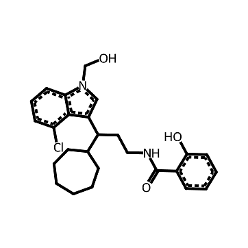 O=C(NCCC(c1cn(CO)c2cccc(Cl)c12)C1CCCCCC1)c1ccccc1O